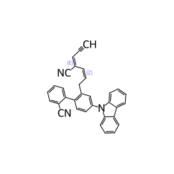 C#C/C=C(C#N)\C=C/Cc1cc(-n2c3ccccc3c3ccccc32)ccc1-c1ccccc1C#N